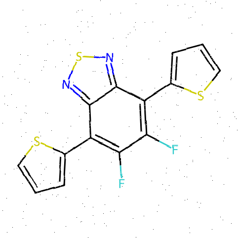 Fc1c(F)c(-c2cccs2)c2nsnc2c1-c1cccs1